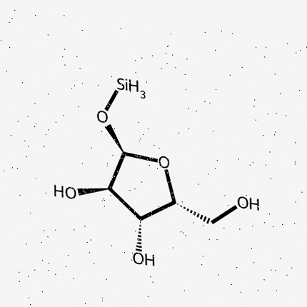 OC[C@H]1O[C@H](O[SiH3])[C@H](O)[C@H]1O